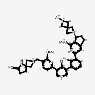 COc1nc(-c2cccc(-c3cccc(-c4cc5c(c(OC)n4)[C@@H](N4CC6(CN(C(C)=O)C6)C4)CC5)c3F)c2Cl)cnc1CN1CC2(CCC(=O)N2)C1